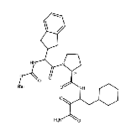 CC(C)(C)OC(=O)NC(C(=O)N1CCC[C@H]1C(=O)NC(CC1CCCCC1)C(=O)C(N)=O)C1Cc2ccccc2C1